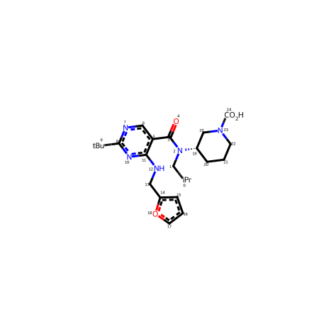 CC(C)CN(C(=O)c1cnc(C(C)(C)C)nc1NCc1ccco1)[C@H]1CCCN(C(=O)O)C1